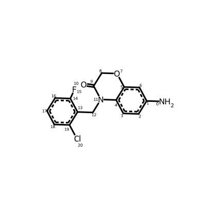 Nc1ccc2c(c1)OCC(=O)N2Cc1c(F)cccc1Cl